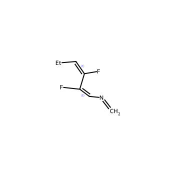 C=N/C=C(F)\C(F)=C/CC